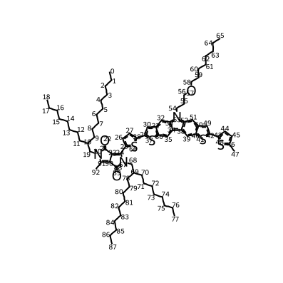 CCCCCCCCCCC(CCCCCCCC)CN1C(=O)C2=C(c3ccc(-c4cc5cc6c(cc5s4)c4cc5sc(-c7ccc(C)s7)cc5cc4n6CCCOCCCCCCCC)s3)N(CC(CCCCCCCC)CCCCCCCCCC)C(=O)C2=C1C